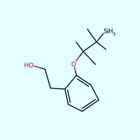 CC(C)([SiH3])C(C)(C)Oc1ccccc1CCO